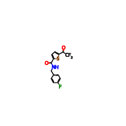 O=C(NCc1ccc(F)cc1)c1ccc(C(=O)C(F)(F)F)s1